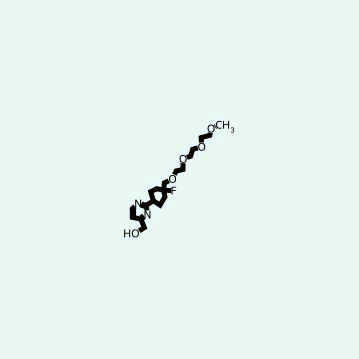 COCCOCCOCCOCC1(F)CCC(c2nccc(CO)n2)CC1